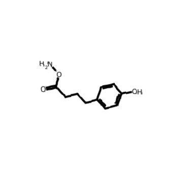 NOC(=O)CCCc1ccc(O)cc1